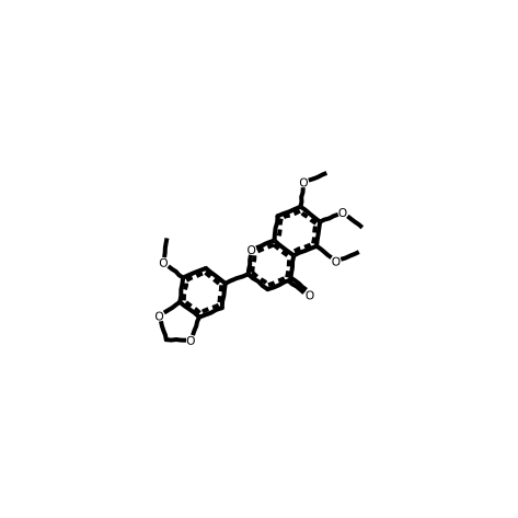 COc1cc(-c2cc(=O)c3c(OC)c(OC)c(OC)cc3o2)cc2c1OCO2